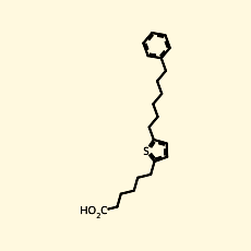 O=C(O)CCCCCc1ccc(CCCCCCc2ccccc2)s1